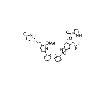 COc1nc(-c2cccc(-c3cccc(-c4nc5cc(COC(=O)[C@@H]6CCCN6)c(OC(F)F)cc5o4)c3C)c2C)ccc1CNCC1CCC(=O)N1